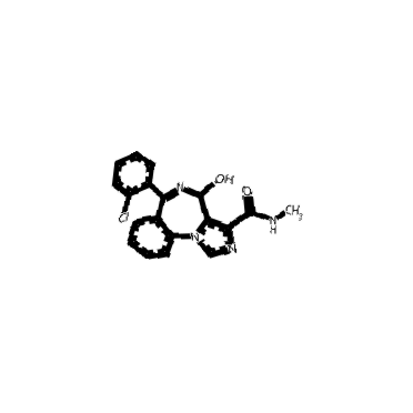 CNC(=O)c1ncn2c1C(O)N=C(c1ccccc1Cl)c1ccccc1-2